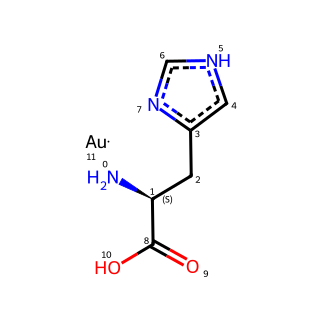 N[C@@H](Cc1c[nH]cn1)C(=O)O.[Au]